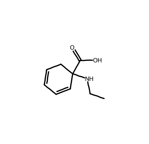 CCNC1(C(=O)O)C=CC=CC1